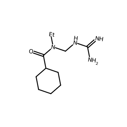 CCN(CNC(=N)N)C(=O)C1CCCCC1